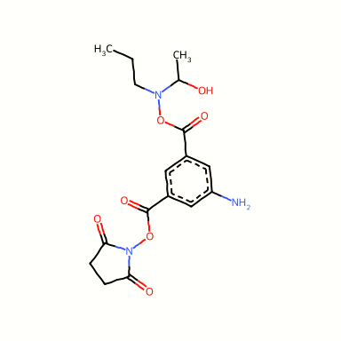 CCCN(OC(=O)c1cc(N)cc(C(=O)ON2C(=O)CCC2=O)c1)C(C)O